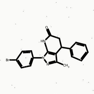 Cc1nn(-c2ccc(Br)cc2)c2c1C(c1ccccc1)CC(=O)N2